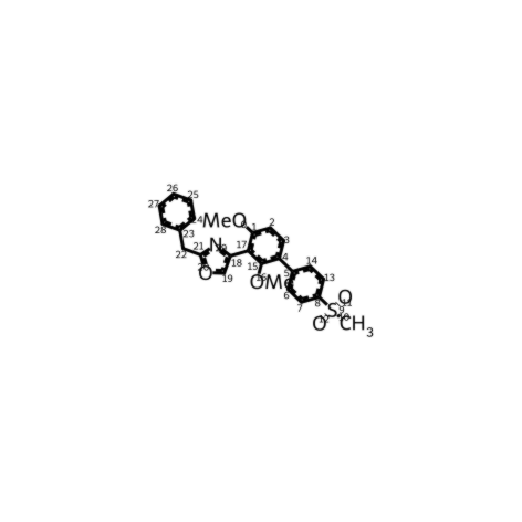 COc1ccc(-c2ccc(S(C)(=O)=O)cc2)c(OC)c1-c1coc(Cc2ccccc2)n1